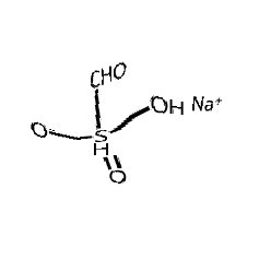 O=C[SH](=O)([O-])O.[Na+]